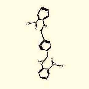 O=[N+]([O-])c1ccccc1NCc1ccc(CNc2ccccc2[N+](=O)[O-])cc1